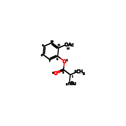 CCCCC(C)C(=O)Oc1ccccc1OC(C)=O